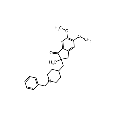 COc1cc2c(cc1OC)C(=O)C(C)(CC1CCN(Cc3ccccc3)CC1)C2